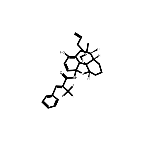 C=CC[N+]1(C)CC[C@]23C4C5=C(O)C=CC4(NC(=O)C(=Cc4ccccc4)C(F)(F)F)O[C@H]2CCC[C@H]3[C@H]1C5